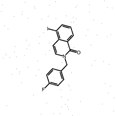 O=c1c2cccc(I)c2ccn1Cc1ccc(F)cc1